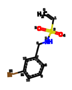 C=CS(=O)(=O)NCc1cccc(Br)c1